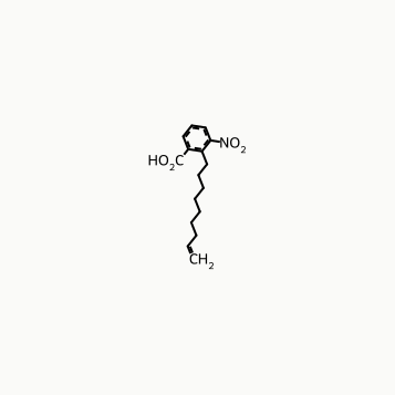 C=CCCCCCCCc1c(C(=O)O)cccc1[N+](=O)[O-]